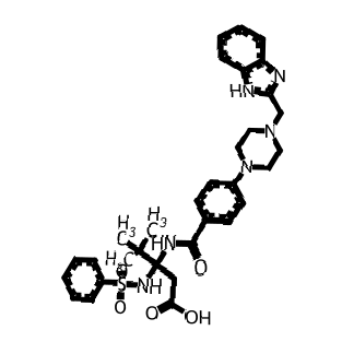 CC(C)(C)C(CC(=O)O)(NC(=O)c1ccc(N2CCN(Cc3nc4ccccc4[nH]3)CC2)cc1)NS(=O)(=O)c1ccccc1